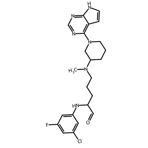 CN(CCCC(C=O)Nc1cc(F)cc(Cl)c1)C1CCCN(c2ncnc3[nH]ccc23)C1